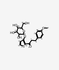 COc1ccc(CCC(=O)c2sccc2OC2OC(CO)C(O)C(O)C2O)cc1